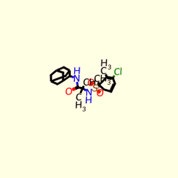 CC1=C(Cl)C=CCC1(C)S(=O)(=O)NC(C)(C)C(=O)NC1C2CC3CC(C2)CC1C3